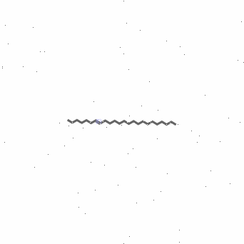 CCCCCC/C=C/CCCCCCCCCCCCCCCC